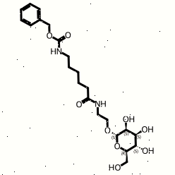 O=C(CCCCCNC(=O)OCc1ccccc1)NCCO[C@H]1O[C@H](CO)[C@@H](O)[C@H](O)[C@@H]1O